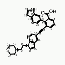 O=C(O)c1cccc(C#Cc2cnc3c(ccn3CCN3CCSCC3)c2)c1-c1ccc2cc[nH]c2c1